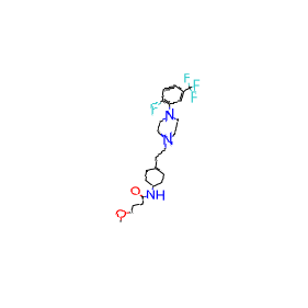 COCCCC(=O)NC1CCC(CCN2CCN(c3cc(C(F)(F)F)ccc3F)CC2)CC1